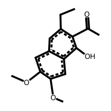 CCc1cc2cc(OC)c(OC)cc2c(O)c1C(C)=O